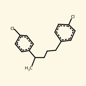 CC(CCCc1ccc(Cl)cc1)c1ccc(Cl)cc1